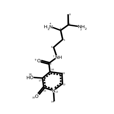 CC(N)C(N)CCNC(=O)c1ccn(C)c(=O)c1O